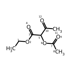 CCOC(=O)C(OC(C)=O)C(C)=O